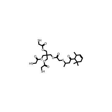 CC(CC(=O)C1C(C)C=CCC1(C)C)SCC(=O)OCC(COC(=O)CS)(COC(=O)CS)COC(=O)CS